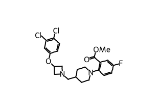 COC(=O)c1cc(F)ccc1N1CCC(CN2CC(Oc3ccc(Cl)c(Cl)c3)C2)CC1